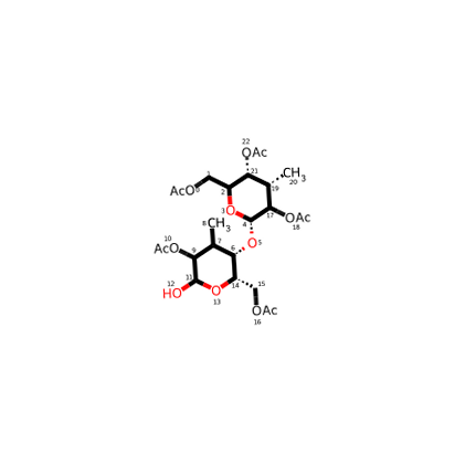 CC(=O)OCC1O[C@@H](O[C@H]2C(C)C(OC(C)=O)C(O)O[C@H]2COC(C)=O)C(OC(C)=O)[C@@H](C)[C@H]1OC(C)=O